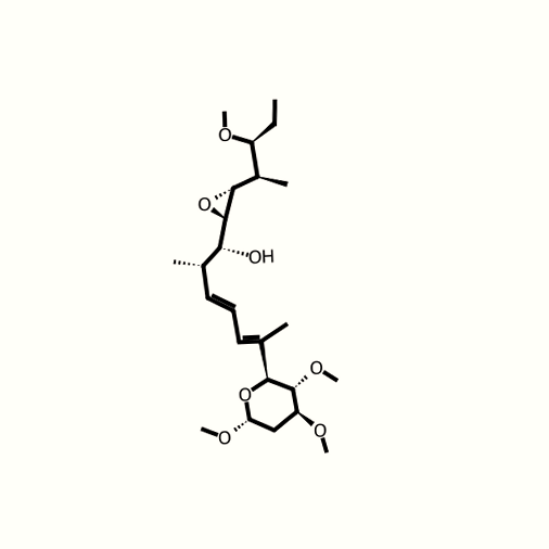 CC[C@H](OC)[C@@H](C)[C@H]1O[C@@H]1[C@H](O)[C@@H](C)/C=C/C=C(\C)[C@@H]1O[C@@H](OC)C[C@H](OC)[C@H]1OC